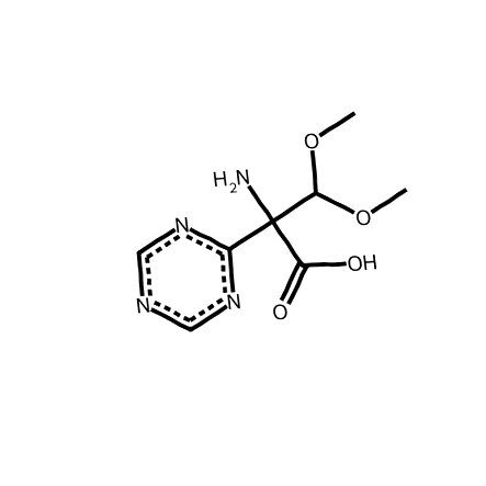 COC(OC)C(N)(C(=O)O)c1ncncn1